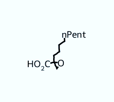 CCCCCCCCCC1(C(=O)O)CO1